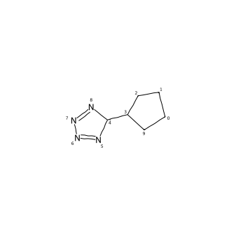 C1CCC([C]2N=NN=N2)C1